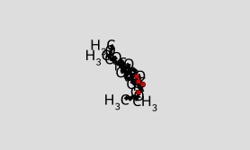 CCCCC(C)OC(=O)Cc1csc(N2C(=O)c3ccc4c5c(ccc(c35)C2=O)C(=O)N(c2nc(CC(=O)OC(C)COCC)cs2)C4=O)n1